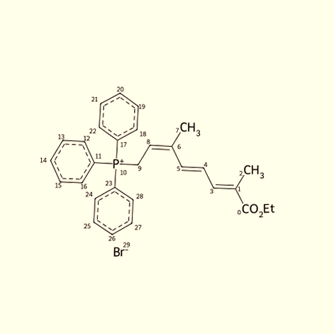 CCOC(=O)C(C)=CC=CC(C)=CC[P+](c1ccccc1)(c1ccccc1)c1ccccc1.[Br-]